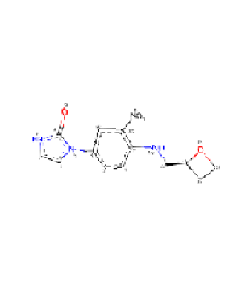 O=c1[nH]ccn1-c1ccc(NC[C@@H]2CCO2)c([N+](=O)[O-])c1